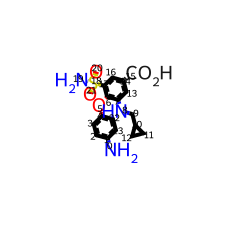 Nc1ccc(Oc2c(NCC3CC3)cc(C(=O)O)cc2S(N)(=O)=O)cc1